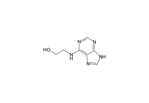 OCCNc1ncnc2[nH]cnc12